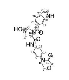 O=C(Nc1ccc(N2CCOCC2=O)cc1)[C@H]1C[C@@H](O)CN1C(=O)c1ccc2cc[nH]c2c1